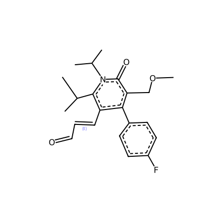 COCc1c(-c2ccc(F)cc2)c(/C=C/C=O)c(C(C)C)n(C(C)C)c1=O